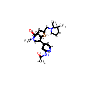 CC(=O)Nc1cc(-c2cn(C)c(=O)c3cc(CN4CCCC(C)C4C)sc23)ccn1